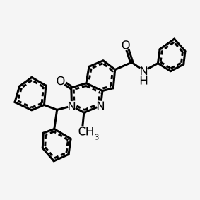 Cc1nc2cc(C(=O)Nc3ccccc3)ccc2c(=O)n1C(c1ccccc1)c1ccccc1